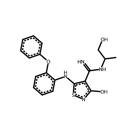 CC(CO)NC(=N)c1c(O)nsc1Nc1ccccc1Oc1ccccc1